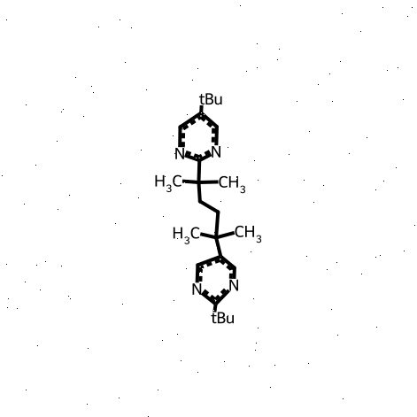 CC(C)(C)c1cnc(C(C)(C)CCC(C)(C)c2cnc(C(C)(C)C)nc2)nc1